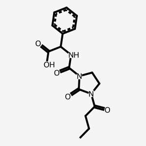 CCCC(=O)N1CCN(C(=O)NC(C(=O)O)c2ccccc2)C1=O